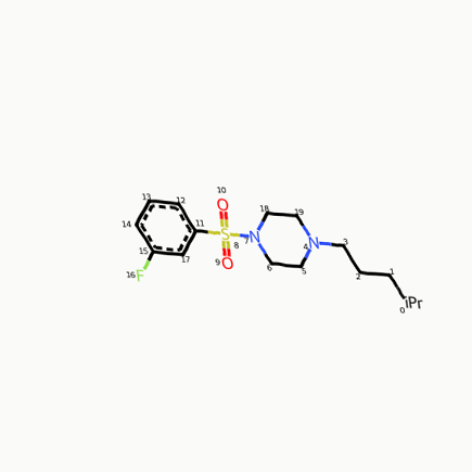 CC(C)CCCN1CCN(S(=O)(=O)c2cccc(F)c2)CC1